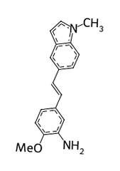 COc1ccc(/C=C/c2ccc3c(ccn3C)c2)cc1N